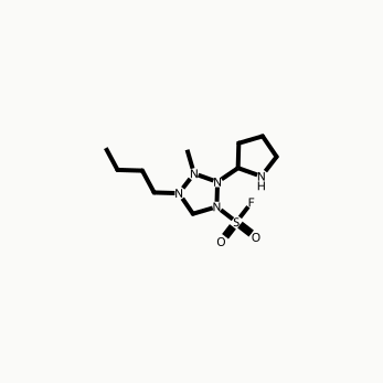 CCCCN1CN(S(=O)(=O)F)N(C2CCCN2)N1C